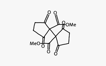 COC(=O)C1(C2(C(=O)OC)C(=O)CCC2=O)C(=O)CCC1=O